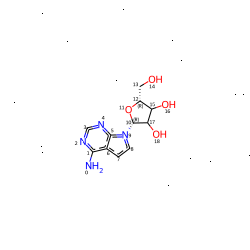 Nc1ncnc2c1ccn2[C@@H]1O[C@H](CO)C(O)C1O